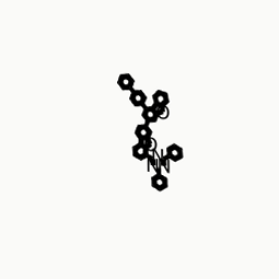 c1ccc(-c2ccc(-c3cc(-c4ccc5c(c4)oc4c(-c6nc(-c7ccccc7)nc(-c7ccccc7)n6)cccc45)cc4oc5ccccc5c34)cc2)cc1